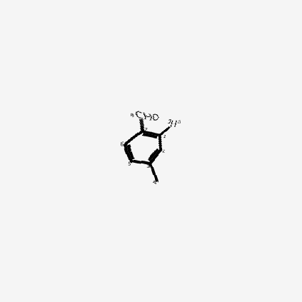 [2H]c1cc(C)ccc1C=O